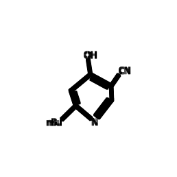 CCCCc1cc(O)c(C#N)cn1